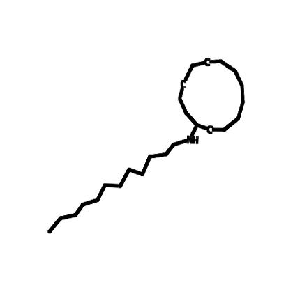 CCCCCCCCCCCCNC1CCCCCCCCCCCC1